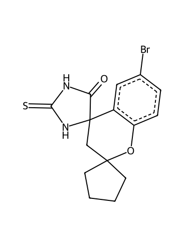 O=C1NC(=S)NC12CC1(CCCC1)Oc1ccc(Br)cc12